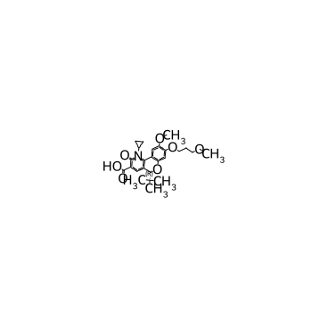 COCCCOc1cc2c(cc1OC)-c1c(cc(C(=O)O)c(=O)n1C1CC1)[C@@H](C(C)(C)C)O2